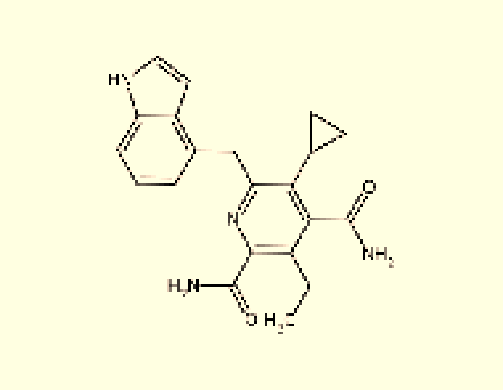 CCc1c(C(N)=O)nc(Cc2cccc3[nH]ccc23)c(C2CC2)c1C(N)=O